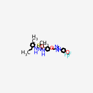 CCCc1ccc(C)cc1N/C(=N/C(=O)Nc1ccc(OCc2ncn(-c3ccc(OC(F)(F)F)cc3)n2)cc1C)SCC